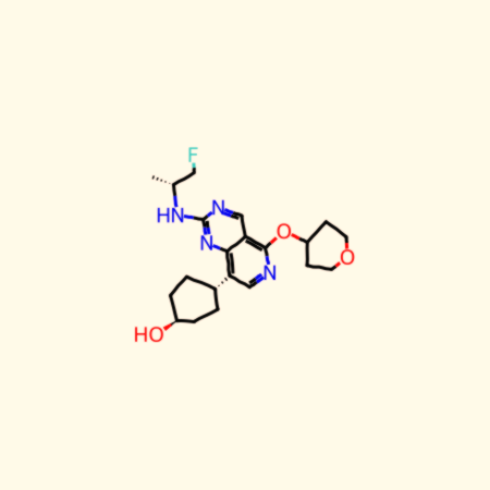 C[C@H](CF)Nc1ncc2c(OC3CCOCC3)ncc([C@H]3CC[C@H](O)CC3)c2n1